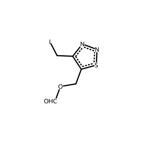 O=COCc1snnc1CI